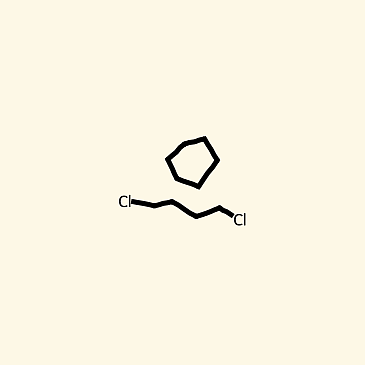 C1CCCCC1.ClCCCCCl